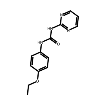 CCOc1ccc(NC(=O)Nc2ncccn2)cc1